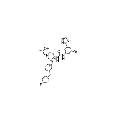 CC(O)CN1CC[C@@H](NC(=O)Nc2cc(Br)cc(-c3nnnn3C)c2)[C@@H](CN2CCCC(Cc3ccc(F)cc3)C2)C1